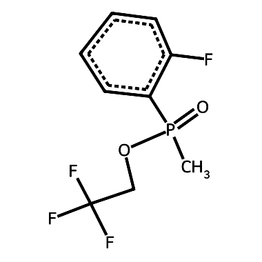 CP(=O)(OCC(F)(F)F)c1ccccc1F